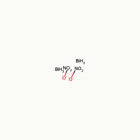 O=[N+]([O-])[O-].O=[N+]([O-])[O-].[BiH3].[BiH3]